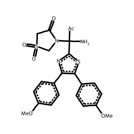 COc1ccc(-c2nc(C(N)(C(C)=O)N3CS(=O)(=O)CC3=O)sc2-c2ccc(OC)cc2)cc1